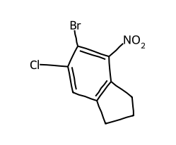 O=[N+]([O-])c1c(Br)c(Cl)cc2c1CCC2